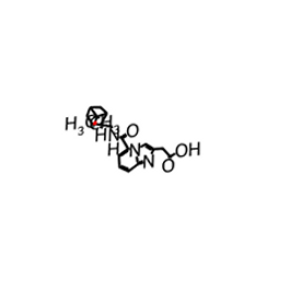 CC1(C)C2CC[C@H](CNC(=O)c3cccc4nc(CC(=O)O)cn34)C1C2